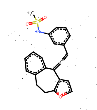 CS(=O)(=O)Nc1cccc(C=C=C2c3ccccc3CCc3occc32)c1